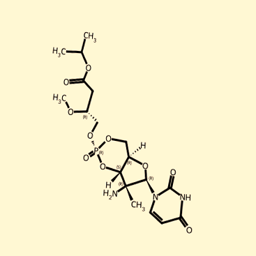 CO[C@@H](CO[P@]1(=O)OC[C@H]2O[C@@H](n3ccc(=O)[nH]c3=O)[C@](C)(N)[C@@H]2O1)CC(=O)OC(C)C